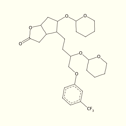 O=C1CC2C(CC(OC3CCCCO3)C2CCC(COc2cccc(C(F)(F)F)c2)OC2CCCCO2)O1